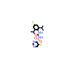 CC(C)c1cc(F)cc(C(C)C)c1NC(=O)NS(=O)(=O)c1ncncc1F